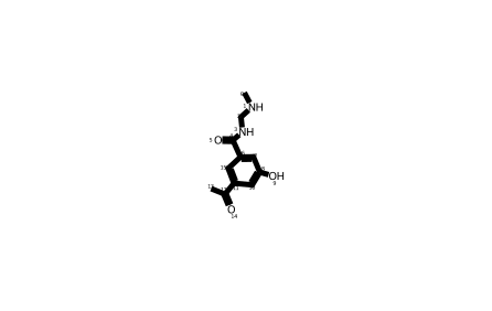 CNCNC(=O)c1cc(O)cc(C(C)=O)c1